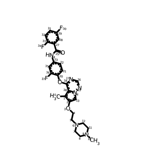 Cc1c(OCCN2CCN(C)CC2)cn2ncnc(Oc3ccc(NC(=O)c4cc(F)ccc4F)cc3F)c12